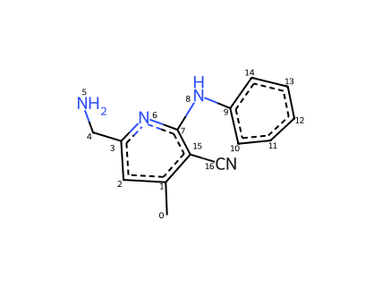 Cc1cc(CN)nc(Nc2ccccc2)c1C#N